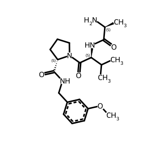 COc1cccc(CNC(=O)[C@@H]2CCCN2C(=O)[C@@H](NC(=O)[C@H](C)N)C(C)C)c1